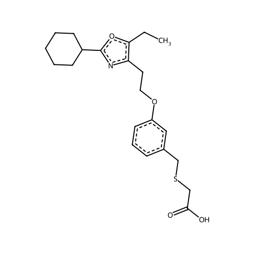 CCc1oc(C2CCCCC2)nc1CCOc1cccc(CSCC(=O)O)c1